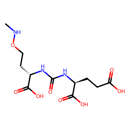 CNOCC[C@H](NC(=O)N[C@@H](CCC(=O)O)C(=O)O)C(=O)O